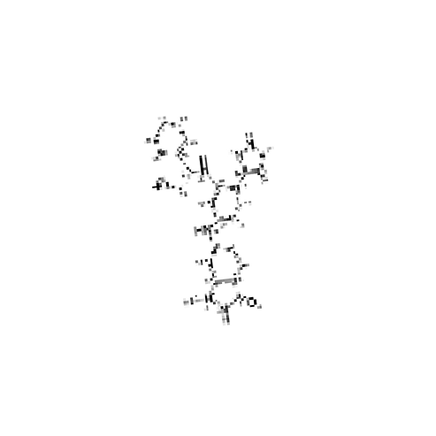 CCn1[nH]c(=O)c2ccc(Nc3ncc(-c4nnco4)c(N[C@H](CO)c4ccccc4)n3)nc21